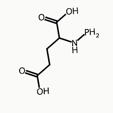 O=C(O)CCC(NP)C(=O)O